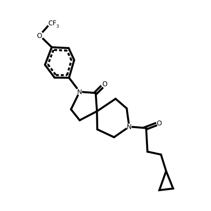 O=C(CCC1CC1)N1CCC2(CC1)CCN(c1ccc(OC(F)(F)F)cc1)C2=O